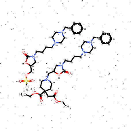 CCOC(=O)CC1(C(=O)OCC)CCN(CC2CN(CCCCN3CCN(Cc4ccccc4)CC3)C(=O)O2)CC1.CS(=O)(=O)OCC1CN(CCCCN2CCN(Cc3ccccc3)CC2)C(=O)O1